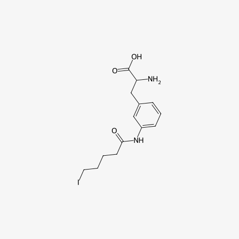 NC(Cc1cccc(NC(=O)CCCCI)c1)C(=O)O